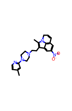 Cc1ccnc(N2CCN(CCc3c(C)n4c5c(cc([N+](=O)[O-])cc35)C=CC4)CC2)c1